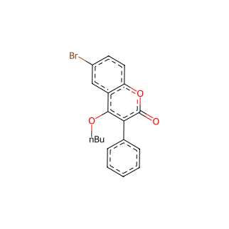 CCCCOc1c(-c2ccccc2)c(=O)oc2ccc(Br)cc12